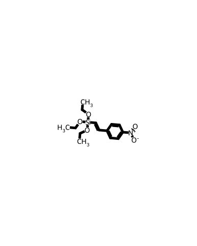 CCO[Si](C=Cc1ccc([N+](=O)[O-])cc1)(OCC)OCC